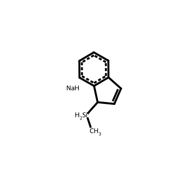 C[SiH2]C1C=Cc2ccccc21.[NaH]